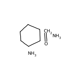 C1CCCCC1.C=O.N.N